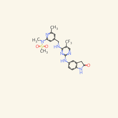 Cc1cc(CNc2nc(Nc3ccc4c(c3)CC(=O)N4)ncc2C(F)(F)F)cc(N(C)S(C)(=O)=O)n1